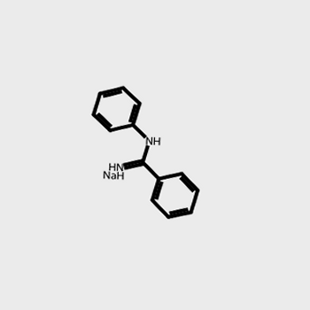 N=C(Nc1ccccc1)c1ccccc1.[NaH]